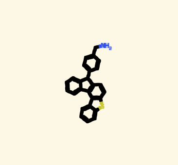 NCc1ccc(C2c3ccccc3-c3c2ccc2sc4ccccc4c32)cc1